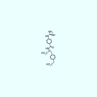 N=C(N)Nc1ccc(C(=O)N[C@@H](Cc2ccc(CC(=O)O)cc2)C(=O)O)cc1